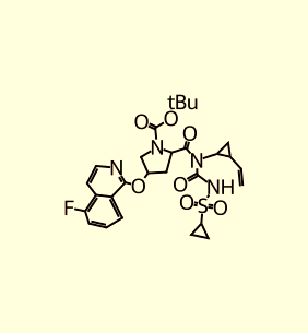 C=CC1CC1N(C(=O)NS(=O)(=O)C1CC1)C(=O)C1CC(Oc2nccc3c(F)cccc23)CN1C(=O)OC(C)(C)C